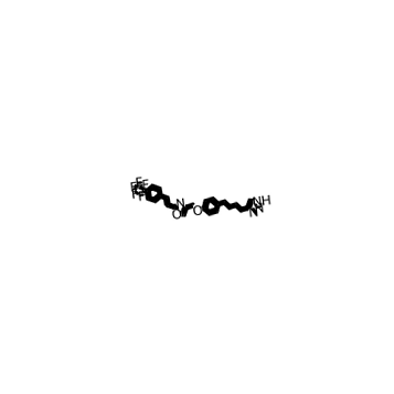 FS(F)(F)(F)(F)c1ccc(/C=C/c2nc(COc3ccc(CCCCc4c[nH]nn4)cc3)co2)cc1